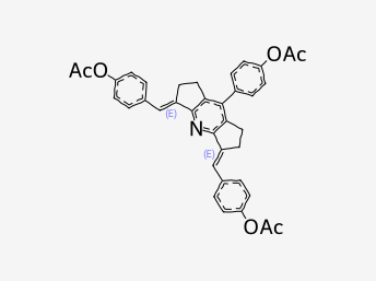 CC(=O)Oc1ccc(/C=C2\CCc3c2nc2c(c3-c3ccc(OC(C)=O)cc3)CC/C2=C\c2ccc(OC(C)=O)cc2)cc1